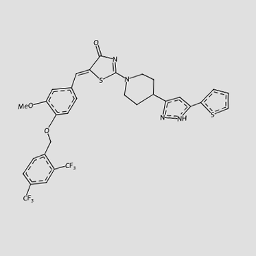 COc1cc(/C=C2\SC(N3CCC(c4cc(-c5cccs5)[nH]n4)CC3)=NC2=O)ccc1OCc1ccc(C(F)(F)F)cc1C(F)(F)F